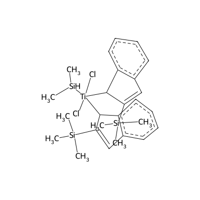 C[SiH](C)[Ti]([Cl])([Cl])([CH]1C([Si](C)(C)C)=Cc2ccccc21)[CH]1C([Si](C)(C)C)=Cc2ccccc21